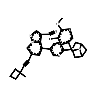 COc1ncc(CN2C3CC2CN(c2ccc(-c4cc(C#CC5(C)CCC5)cn5ncc(C#N)c45)cn2)C3)cc1F